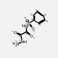 NNC(=O)C(=O)NS(=O)(=O)c1ccccc1